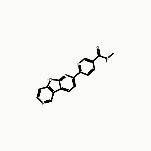 CNC(=O)c1ccc(-c2ccc3c(n2)[nH]c2ccncc23)nc1